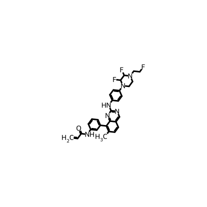 C=CC(=O)Nc1cccc(-c2c(C)ccc3cnc(Nc4ccc(N5CCN(CCF)C(F)C5F)cc4)nc23)c1